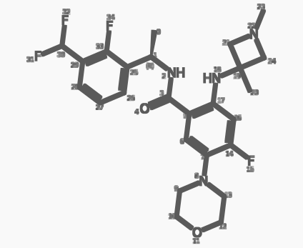 C[C@@H](NC(=O)c1cc(N2CCOCC2)c(F)cc1NC1(C)CN(C)C1)c1cccc(C(F)F)c1F